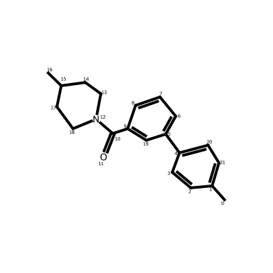 Cc1ccc(-c2cccc(C(=O)N3CCC(C)CC3)c2)cc1